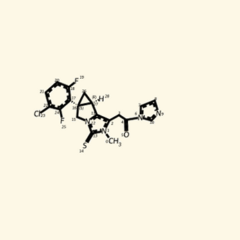 Cn1c(CC(=O)n2ccnc2)c2n(c1=S)C[C@@]1(c3c(F)ccc(Cl)c3F)C[C@@H]21